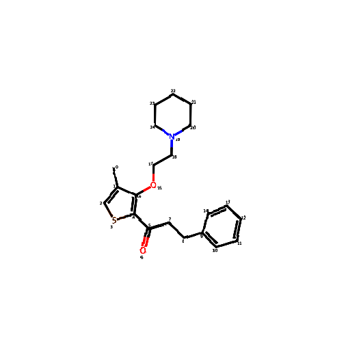 Cc1csc(C(=O)CCc2ccccc2)c1OCCN1CCCCC1